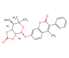 CO[C@@H]1[C@@H]2OC(=O)O[C@@H]2[C@H](Oc2ccc3c(C)c(-c4ccccc4)c(=O)oc3c2)OC1(C)C